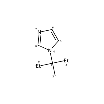 C[CH]C(C)(CC)n1ccnc1